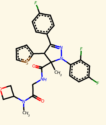 CN(C(=O)CNC(=O)C1(C)C(c2cccs2)C(c2ccc(F)cc2)=NN1c1ccc(F)cc1F)C1COC1